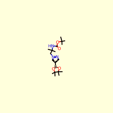 CC(C)(Cn1cc(B2OC(C)(C)C(C)(C)O2)cn1)NC(=O)OC(C)(C)C